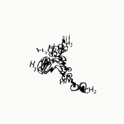 C=CC(=O)OCCCNC(=O)OC(COCCC[Si](OC)(OC)OC)COC(=O)CCC(=O)OC(COC(=O)C(=C)C)COC(=O)C(=C)C